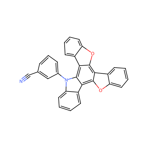 N#Cc1cccc(-n2c3ccccc3c3c4oc5ccccc5c4c4oc5ccccc5c4c32)c1